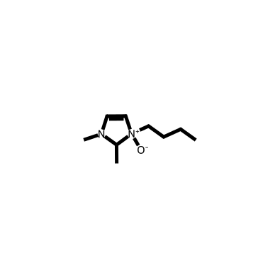 CCCC[N+]1([O-])C=CN(C)C1C